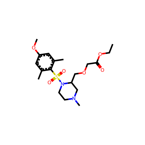 CCOC(=O)COCC1CN(C)CCN1S(=O)(=O)c1c(C)cc(OC)cc1C